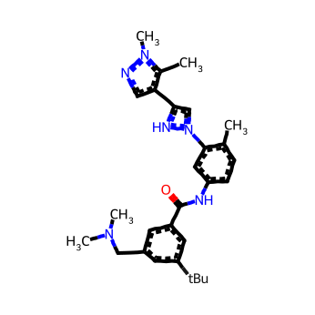 Cc1ccc(NC(=O)c2cc(CN(C)C)cc(C(C)(C)C)c2)cc1-n1cc(-c2cnn(C)c2C)[nH]1